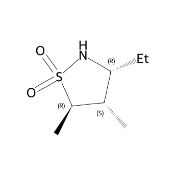 CC[C@H]1NS(=O)(=O)[C@H](C)[C@H]1C